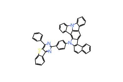 c1ccc(-c2nc(-c3ccc(-n4c5ccc6ccccc6c5c5cc6c7ccccc7n7c8ccccc8c(c54)c67)cc3)nc3c2sc2ccccc23)cc1